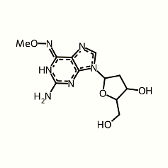 CO/N=c1\[nH]c(N)nc2c1ncn2C1CC(O)C(CO)O1